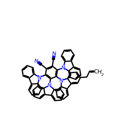 C=CCc1ccc2c(c1)c1ccccc1n2-c1c(-n2c3ccccc3c3ccccc32)c(C#N)c(C#N)c(-n2c3ccccc3c3ccccc32)c1-n1c2ccccc2c2ccccc21